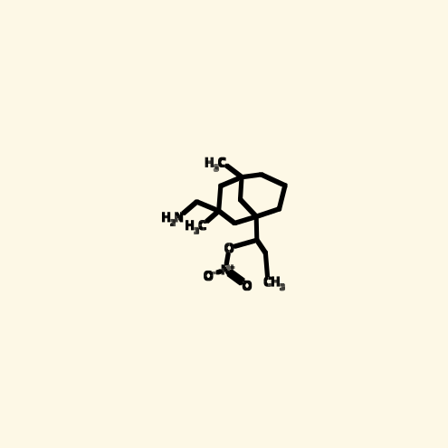 CCC(O[N+](=O)[O-])C12CCCC(C)(CC(C)(CN)C1)C2